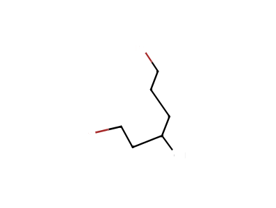 CC(CCBr)CCCBr